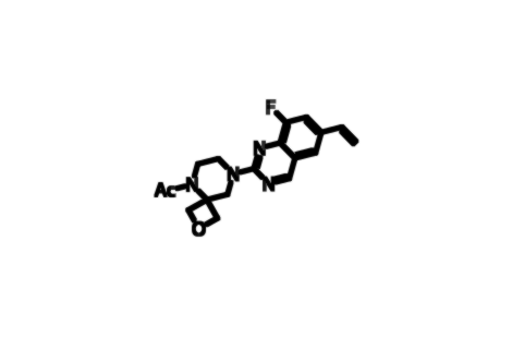 C=Cc1cc(F)c2nc(N3CCN(C(C)=O)C4(COC4)C3)ncc2c1